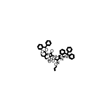 C=CCO/N=C(\C(=O)NC1C(=O)N2C(C(=O)OC(c3ccccc3)c3ccccc3)=C(CI)C[S+]([O-])[C@H]12)c1csc(NC(c2ccccc2)(c2ccccc2)c2ccccc2)n1